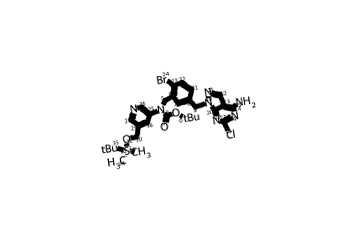 CC(C)(C)OC(=O)N(Cc1cc(Cn2ncc3c(N)nc(Cl)nc32)ccc1Br)c1cncc(CO[Si](C)(C)C(C)(C)C)c1